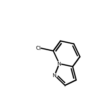 Clc1cccc2c[c]nn12